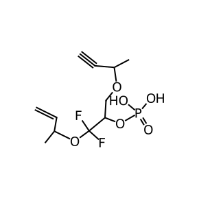 C#CC(C)OCC(OP(=O)(O)O)C(F)(F)OC(C)C=C